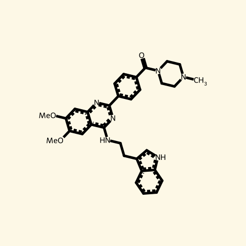 COc1cc2nc(-c3ccc(C(=O)N4CCN(C)CC4)cc3)nc(NCCc3c[nH]c4ccccc34)c2cc1OC